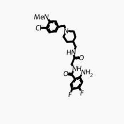 CNc1cc(CN2CCC(CNC(=O)CNC(=O)c3cc(F)c(F)cc3N)CC2)ccc1Cl